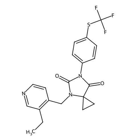 CCc1cnccc1CN1C(=O)N(c2ccc(SC(F)(F)F)cc2)C(=O)C12CC2